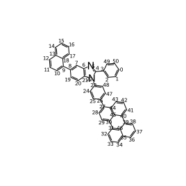 c1ccc(-c2nc3cc(-c4cccc5ccccc45)ccc3n2-c2ccc(-c3ccc4c5cccc6cccc(c7cccc3c74)c65)cc2)cc1